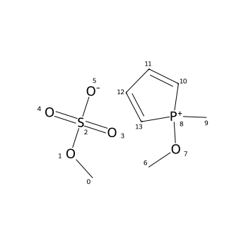 COS(=O)(=O)[O-].CO[P+]1(C)C=CC=C1